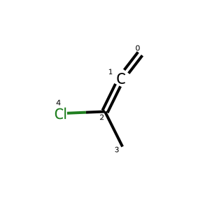 C=C=C(C)Cl